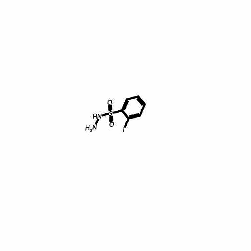 NNS(=O)(=O)c1ccccc1I